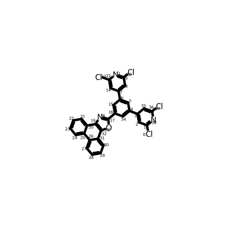 Clc1cc(-c2cc(-c3cc(Cl)nc(Cl)c3)cc(-c3nc4c5ccccc5c5ccccc5c4o3)c2)cc(Cl)n1